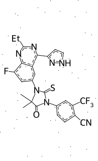 CCc1nc(-c2cc[nH]n2)c2cc(N3C(=S)N(c4ccc(C#N)c(C(F)(F)F)c4)C(=O)C3(C)C)cc(F)c2n1